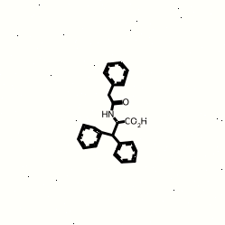 O=C(Cc1ccccc1)NC(C(=O)O)C(c1ccccc1)c1ccccc1